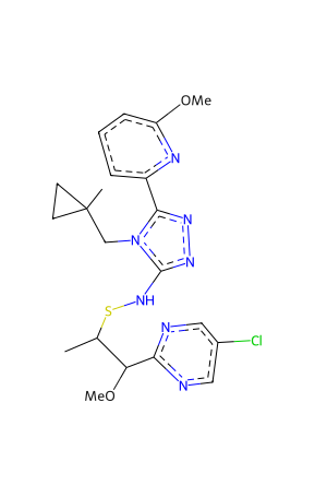 COc1cccc(-c2nnc(NSC(C)C(OC)c3ncc(Cl)cn3)n2CC2(C)CC2)n1